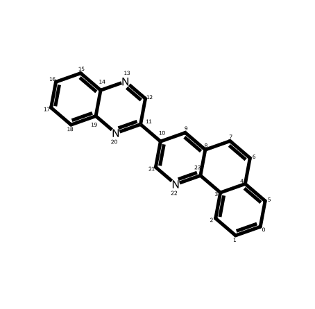 c1ccc2c(c1)ccc1cc(-c3cnc4ccccc4n3)cnc12